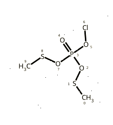 CSOP(=O)(OCl)OSC